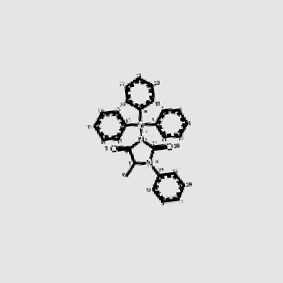 CC1C(=O)N([Si](c2ccccc2)(c2ccccc2)c2ccccc2)C(=O)N1c1ccccc1